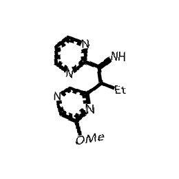 CCC(C(=N)c1ncccn1)c1cncc(OC)n1